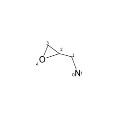 [N]CC1CO1